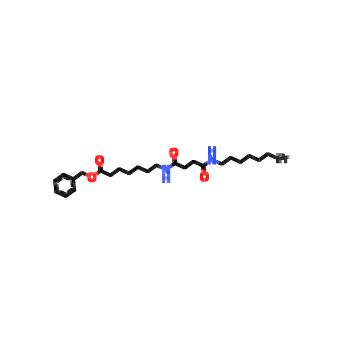 CC(C)CCCCCCNC(=O)CCC(=O)NCCCCCCC(=O)OCc1ccccc1